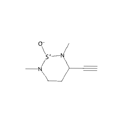 C#CC1CCN(C)[S+]([O-])N1C